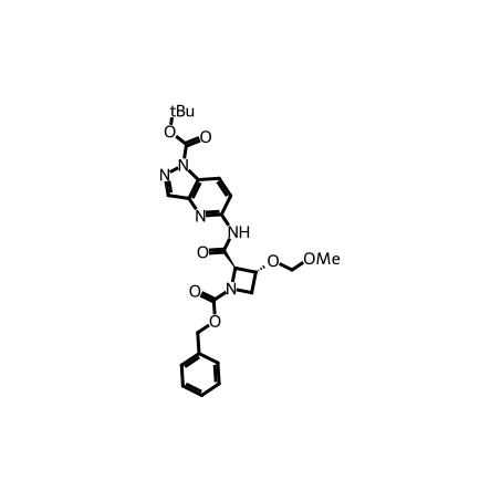 COCO[C@@H]1CN(C(=O)OCc2ccccc2)[C@H]1C(=O)Nc1ccc2c(cnn2C(=O)OC(C)(C)C)n1